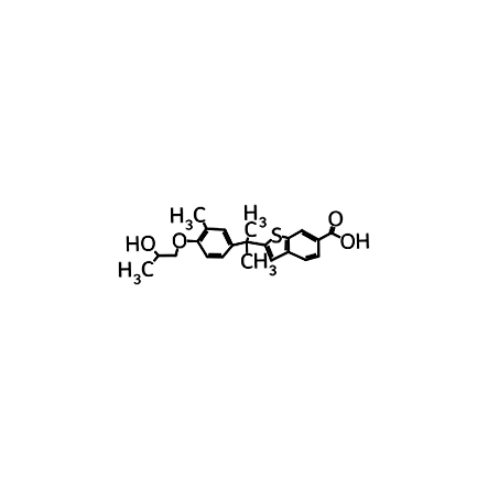 Cc1cc(C(C)(C)c2cc3ccc(C(=O)O)cc3s2)ccc1OCC(C)O